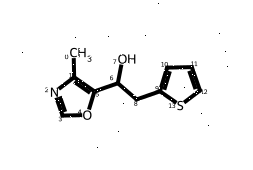 Cc1ncoc1C(O)Cc1cccs1